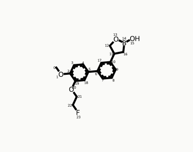 COc1ccc(-c2cccc(C3COB(O)C3)c2)cc1OCCF